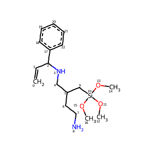 C=CC(NCC(CCN)C[Si](OC)(OC)OC)c1ccccc1